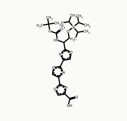 CC(C)[Si](OCC(NC(=O)OC(C)(C)C)c1nc(-c2nc(-c3nc(C(=O)O)co3)co2)co1)(C(C)C)C(C)C